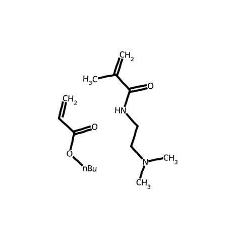 C=C(C)C(=O)NCCN(C)C.C=CC(=O)OCCCC